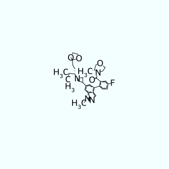 CC(C)[C@H](CCC1OCCO1)N1CC(c2cc(-c3ccc(F)cc3C(=O)N3CCOC[C@H]3C)c3cnn(C)c3c2)C1